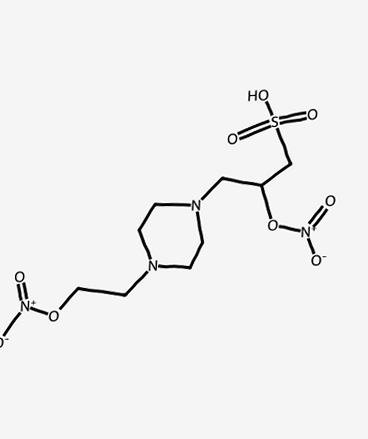 O=[N+]([O-])OCCN1CCN(CC(CS(=O)(=O)O)O[N+](=O)[O-])CC1